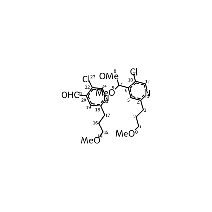 COCCCc1cc(C(OC)OC)c(Cl)cn1.COCCCc1cc(C=O)c(Cl)cn1